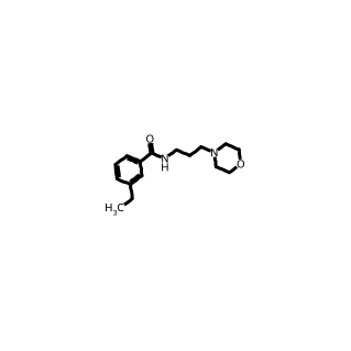 CCc1cccc(C(=O)NCCCN2CCOCC2)c1